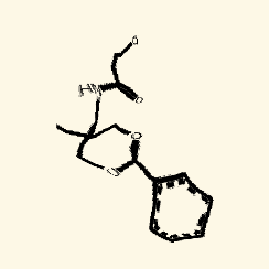 CC1(NC(=O)CCl)COC(c2ccccc2)OC1